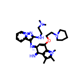 Cc1c2c(n(C)c1C)C(OCCN1CCCCC1)=C/C(=N\c1c(NCCN(C)C)nn3ccccc13)C2=N